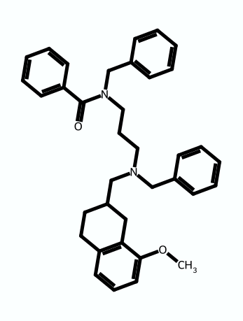 COc1cccc2c1CC(CN(CCCN(Cc1ccccc1)C(=O)c1ccccc1)Cc1ccccc1)CC2